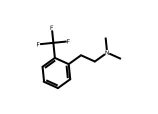 CN(C)CCc1cc[c]cc1C(F)(F)F